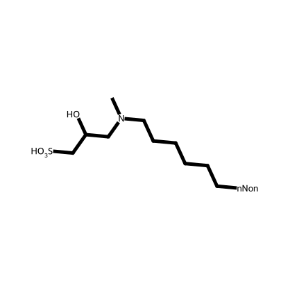 CCCCCCCCCCCCCCCN(C)CC(O)CS(=O)(=O)O